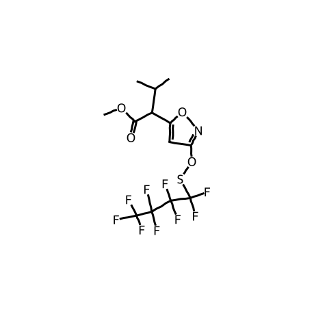 COC(=O)C(c1cc(OSC(F)(F)C(F)(F)C(F)(F)C(F)(F)F)no1)C(C)C